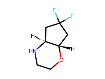 FC1(F)C[C@@H]2NCCO[C@H]2C1